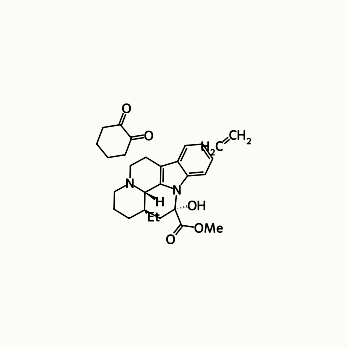 C=C.CC[C@]12CCCN3CCc4c(n(c5ccccc45)[C@@](O)(C(=O)OC)C1)[C@@H]32.O=C1CCCCC1=O